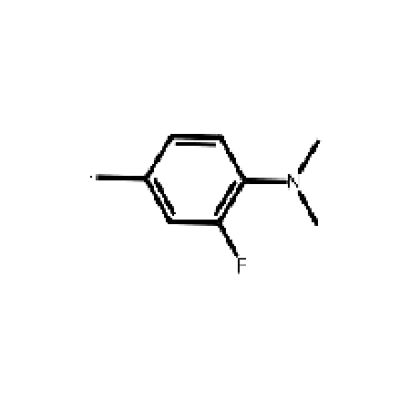 [CH2]c1ccc(N(C)C)c(F)c1